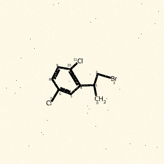 [CH2]C(CBr)c1cc(Cl)ccc1Cl